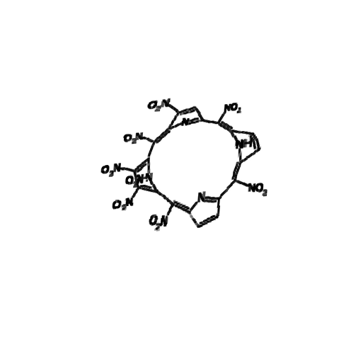 O=[N+]([O-])C1=Cc2nc1c([N+](=O)[O-])c1c([N+](=O)[O-])c([N+](=O)[O-])c(c([N+](=O)[O-])c3nc(c([N+](=O)[O-])c4ccc([nH]4)c2[N+](=O)[O-])C=C3)n1[N+](=O)[O-]